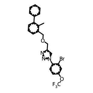 Cc1c(COCc2cn(-c3ccc(OC(F)(F)F)cc3Br)nn2)cccc1-c1ccccc1